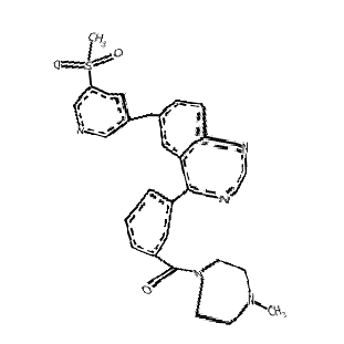 CN1CCN(C(=O)c2cccc(-c3ncnc4ccc(-c5cncc(S(C)(=O)=O)c5)cc34)c2)CC1